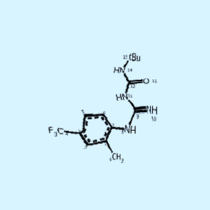 Cc1cc(C(F)(F)F)ccc1NC(=N)NC(=O)NC(C)(C)C